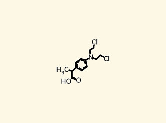 CC(C(=O)O)c1ccc(N(CCCl)CCCl)cc1